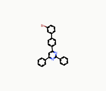 Brc1cccc(-c2ccc(-c3cc(-c4ccccc4)nc(-c4ccccc4)n3)cc2)c1